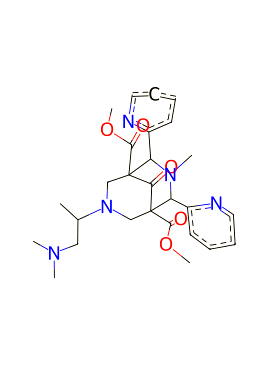 COC(=O)C12CN(C(C)CN(C)C)CC(C(=O)OC)(C1=O)C(c1ccccn1)N(C)C2c1ccccn1